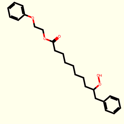 O=C(CCCCCCCC(Cc1ccccc1)OO)OCCOc1ccccc1